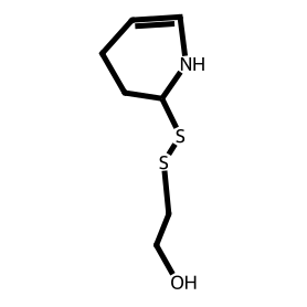 OCCSSC1CCC=CN1